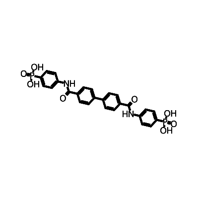 O=C(Nc1ccc(P(=O)(O)O)cc1)c1ccc(-c2ccc(C(=O)Nc3ccc(P(=O)(O)O)cc3)cc2)cc1